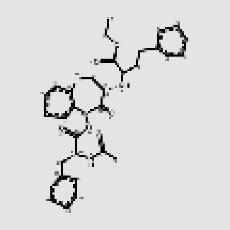 CCOC(=O)C(CCc1ccccc1)N[C@H]1COc2ccccc2N(OC(=O)[C@H](Cc2ccccc2)NC(C)=O)C1=O